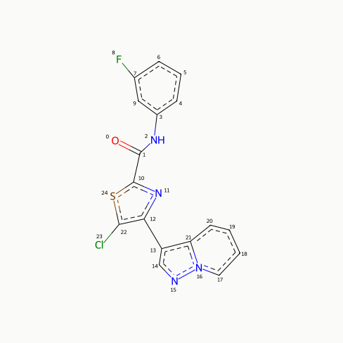 O=C(Nc1cccc(F)c1)c1nc(-c2cnn3ccccc23)c(Cl)s1